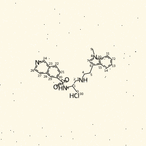 CC(CNCCc1cn(C)c2ccccc12)NS(=O)(=O)c1ccc2cnccc2c1.Cl